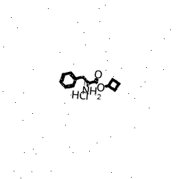 Cl.N[C@@H](Cc1ccccc1)C(=O)OC1CCC1